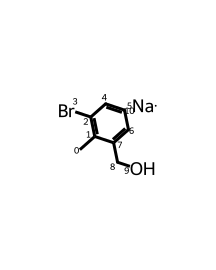 Cc1c(Br)cccc1CO.[Na]